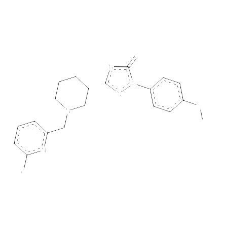 COc1ccc(-n2nc([C@H]3CCCN(Cc4cccc(C)n4)C3)[nH]c2=O)cc1